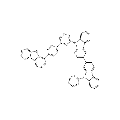 c1ccc(-n2c3ccccc3c3ccc(-c4ccc5c(c4)c4ccccc4n5-c4nccc(-c5ccc(-c6cccc7c6sc6ccccc67)cc5)n4)cc32)cc1